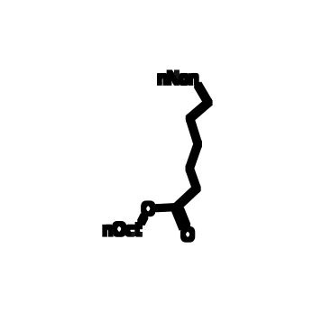 CCCCCCCCCCCCCCC(=O)OCCCCCCCC